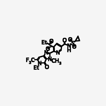 CCn1c(C(F)(F)F)cc2nc(-c3ncc(C(=O)NS(=O)(=O)C4CC4)cc3S(=O)(=O)CC)n(C)c2c1=O